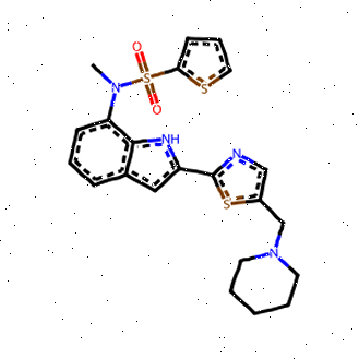 CN(c1cccc2cc(-c3ncc(CN4CCCCC4)s3)[nH]c12)S(=O)(=O)c1cccs1